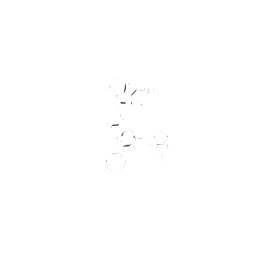 C[C@H]1COCCN(c2nc(OC[C@@]34CCCN3C[C@H](F)C4)nc(C(=N)NOC(=O)[C@@]3(C)CCCc4sc(N)c(C#N)c43)n2)C1